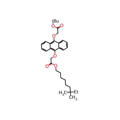 CCC(C)(C)CCCCCCOC(=O)COc1c2ccccc2c(OCC(=O)OC(C)(C)C)c2ccccc12